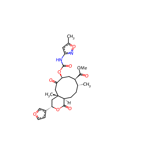 COC(=O)[C@@H]1C[C@H](OC(=O)Nc2cc(C)on2)C(=O)C[C@@]2(C)C[C@@H](c3ccoc3)OC(=O)[C@@H]2CC[C@H]1C